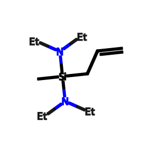 C=CC[Si](C)(N(CC)CC)N(CC)CC